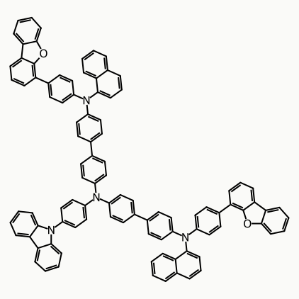 c1ccc2c(N(c3ccc(-c4ccc(N(c5ccc(-c6ccc(N(c7ccc(-c8cccc9c8oc8ccccc89)cc7)c7cccc8ccccc78)cc6)cc5)c5ccc(-n6c7ccccc7c7ccccc76)cc5)cc4)cc3)c3ccc(-c4cccc5c4oc4ccccc45)cc3)cccc2c1